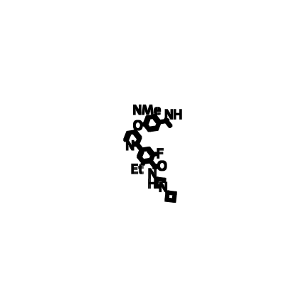 CCc1cc(-c2cc(Oc3ccc(C(C)=N)c(NC)c3)ccn2)cc(F)c1C(=O)NC1CN(C2CCC2)C1